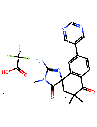 CN1C(=O)C2(CC(C)(C)C(=O)c3ccc(-c4cncnc4)cc32)N=C1N.O=C(O)C(F)(F)F